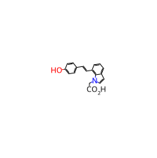 O=C(O)Cn1ccc2cccc(/C=C/c3ccc(O)cc3)c21